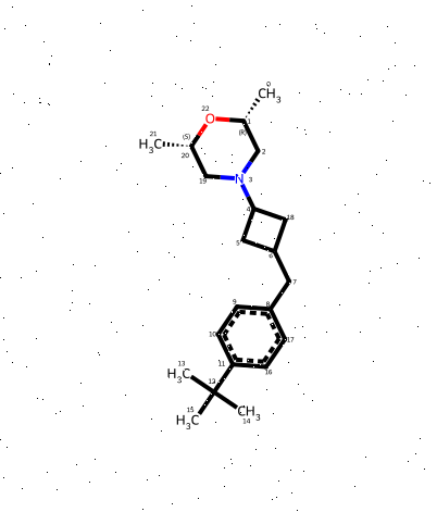 C[C@@H]1CN(C2CC(Cc3ccc(C(C)(C)C)cc3)C2)C[C@H](C)O1